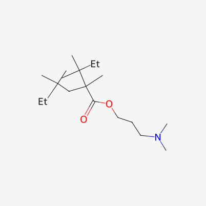 CCC(C)(C)CC(C)(C(=O)OCCCN(C)C)C(C)(C)CC